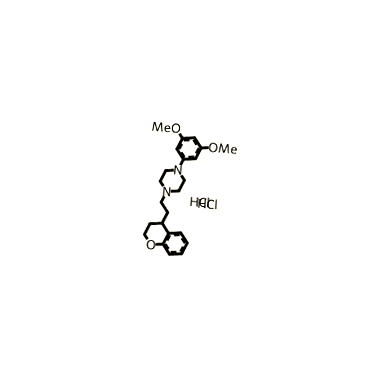 COc1cc(OC)cc(N2CCN(CCC3CCOc4ccccc43)CC2)c1.Cl.Cl